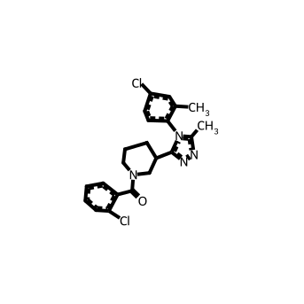 Cc1cc(Cl)ccc1-n1c(C)nnc1C1CCCN(C(=O)c2ccccc2Cl)C1